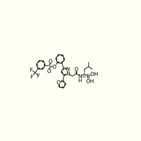 CC(C)C[C@H](NC(=O)Cn1nc(-c2ccccc2OS(=O)(=O)c2cccc(C(F)(F)F)c2)cc1-c1ccco1)B(O)O